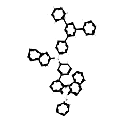 C1=CC(c2cccc3c2c2c4ccccc4ccc2n3-c2ccccc2)=CC(N(c2ccc(-c3cc(-c4ccccc4)cc(-c4ccccc4)c3)cc2)c2ccc3ccccc3c2)C1